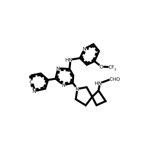 O=CNC1CCC12CCN(c1cc(Nc3cc(OC(F)(F)F)ccn3)nc(-c3cccnc3)n1)C2